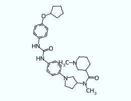 CN1CCCC(C(=O)N(C)C2CCN(c3ccc(NC(=O)Nc4ccc(OC5CCCC5)cc4)cc3)C2)C1